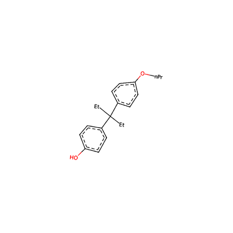 CCCOc1ccc(C(CC)(CC)c2ccc(O)cc2)cc1